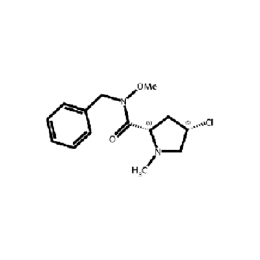 CON(Cc1ccccc1)C(=O)[C@@H]1C[C@H](Cl)CN1C